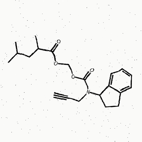 C#CCN(C(=O)OCOC(=O)C(C)CC(C)C)C1CCc2ccccc21